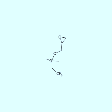 C[Si](C)(CC(F)(F)F)OCC1CO1